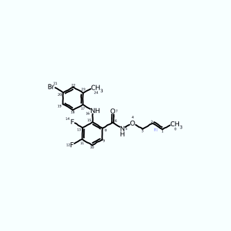 C/C=C/CONC(=O)c1ccc(F)c(F)c1Nc1ccc(Br)cc1C